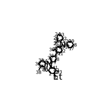 CCc1ccc(N(c2ccc(-c3ccc(N(c4ccccc4)c4ccccc4C)cc3C)cc2)c2cccc(C)c2C)cc1C